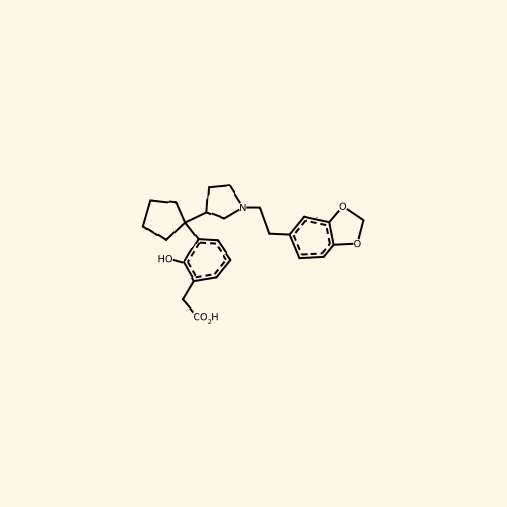 O=C(O)Cc1cccc(C2(C3CCN(CCc4ccc5c(c4)OCO5)C3)CCCC2)c1O